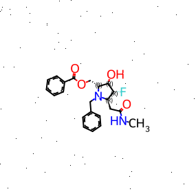 CNC(=O)C[C@@H]1[C@@H](F)[C@H](O)[C@@H](COC(=O)c2ccccc2)N1Cc1ccccc1